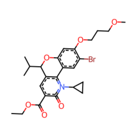 CCOC(=O)c1cc2c(n(C3CC3)c1=O)-c1cc(Br)c(OCCCOC)cc1OC2C(C)C